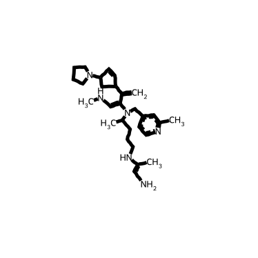 C=C(/C(=C\NC)N(Cc1ccnc(C)c1)C(C)CCCN/C(C)=C/N)C1C=CC(N2CCCC2)C1